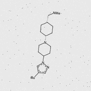 CCC(C)c1cnn(C2CCN([C@H]3CC[C@@H](CNC)CC3)CC2)c1